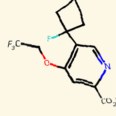 O=C(O)c1cc(OCC(F)(F)F)c(C2(F)CCC2)cn1